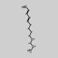 CCCCC=CC=CCCCCOCOCCC